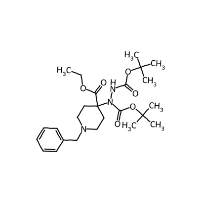 CCOC(=O)C1(N(NC(=O)OC(C)(C)C)C(=O)OC(C)(C)C)CCN(Cc2ccccc2)CC1